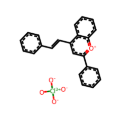 C(=Cc1cc(-c2ccccc2)[o+]c2ccccc12)c1ccccc1.[O-][Cl+3]([O-])([O-])[O-]